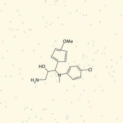 COc1ccc(C(C(O)CN)N(C)c2ccc(Cl)cc2)cc1